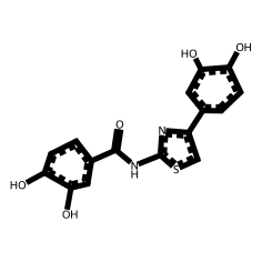 O=C(Nc1nc(-c2ccc(O)c(O)c2)cs1)c1ccc(O)c(O)c1